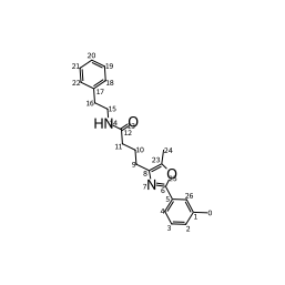 Cc1cccc(-c2nc(CCCC(=O)NCCc3ccccc3)c(C)o2)c1